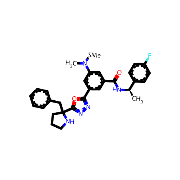 CSN(C)c1cc(C(=O)N[C@H](C)c2ccc(F)cc2)cc(-c2nnc(C3(Cc4ccccc4)CCCN3)o2)c1